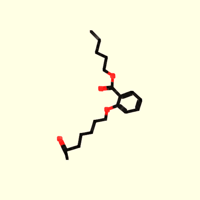 CCCCCOC(=O)c1ccccc1OCCCCCC(C)=O